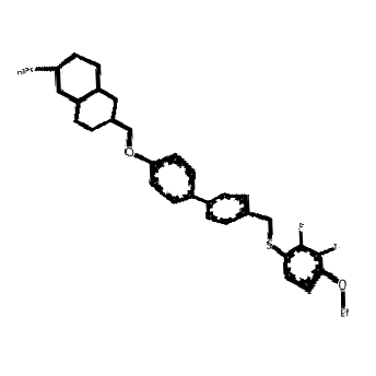 CCCC1CCC2CC(COc3ccc(-c4ccc(CSc5ccc(OCC)c(F)c5F)cc4)cc3)CCC2C1